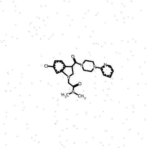 CN(C)C(=O)CN1CC(C(=O)N2CCN(c3ccccn3)CC2)c2ccc(Cl)cc21